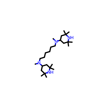 CN(CCCCCCN(C)C1CC(C)(C)NC(C)(C)C1)C1CC(C)(C)NC(C)(C)C1